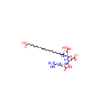 N=C(N)NCCC[C@H](NC(=O)[C@H](CCC(=O)O)NC(=O)[C@H](CCC(=O)O)NC(=O)CCCCCCCCCCCCCCCCCCC(=O)O)C(=O)O